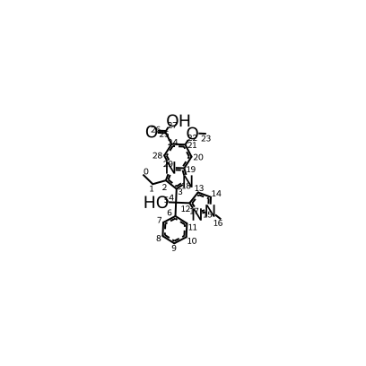 CCc1c(C(O)(c2ccccc2)c2ccn(C)n2)nc2cc(OC)c(C(=O)O)cn12